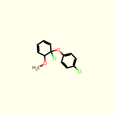 COC1C=CC=CC1(Cl)Oc1ccc(Cl)cc1